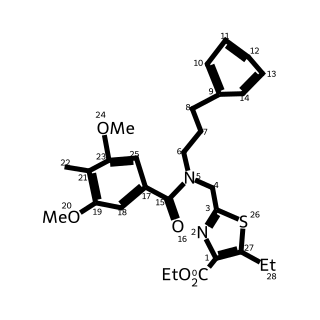 CCOC(=O)c1nc(CN(CCCc2ccccc2)C(=O)c2cc(OC)c(C)c(OC)c2)sc1CC